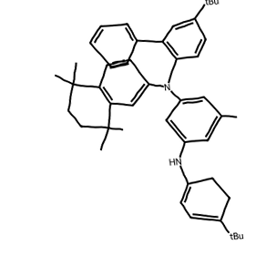 Cc1cc(NC2=CC=C(C(C)(C)C)CC2)cc(N(c2ccc3c(c2)C(C)(C)CCC3(C)C)c2ccc(C(C)(C)C)cc2-c2ccccc2)c1